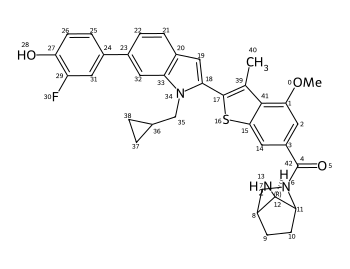 COc1cc(C(=O)N2CC3CCC2[C@@H]3N)cc2sc(-c3cc4ccc(-c5ccc(O)c(F)c5)cc4n3CC3CC3)c(C)c12